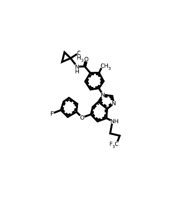 Cc1cc(-n2cnc3c(NCCC(F)(F)F)cc(Oc4cccc(F)c4)cc32)ccc1C(=O)NC1(C)CC1